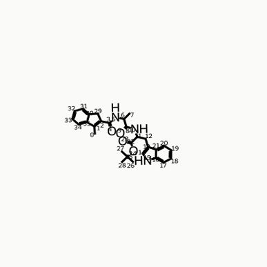 CC1=C(C(=O)NC(C)C(=O)NC(Cc2c[nH]c3ccccc23)C(=O)OC(C)(C)C)Cc2ccccc21